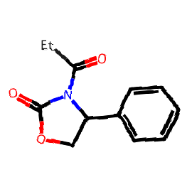 CCC(=O)N1C(=O)OCC1c1ccccc1